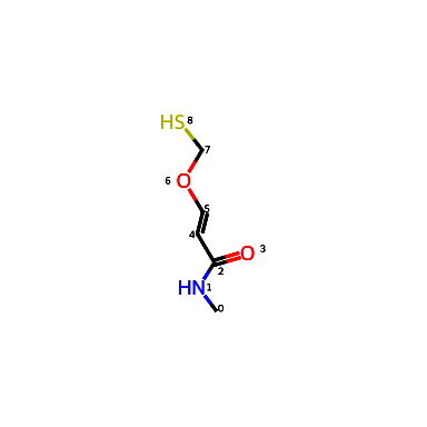 CNC(=O)C=COCS